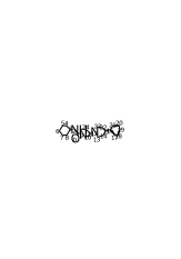 O=C(NC1CCCCC1)N1CC(N2CCC(c3ccccc3)CC2)C1